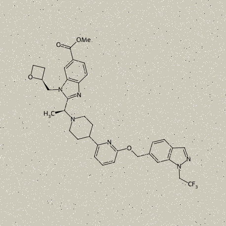 COC(=O)c1ccc2nc([C@H](C)N3CCC(c4cccc(OCc5ccc6cnn(CC(F)(F)F)c6c5)n4)CC3)n(C[C@@H]3CCO3)c2c1